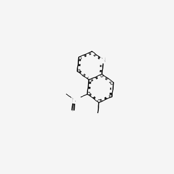 Bc1ccc2ncccc2c1[N+](=O)[O-]